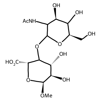 CO[C@H]1O[C@H](C(=O)O)C(OC2O[C@H](CO)C(O)[C@H](O)C2NC(C)=O)[C@H](O)[C@H]1O